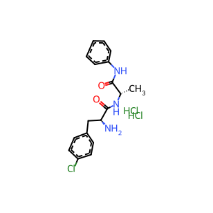 C[C@H](NC(=O)[C@@H](N)Cc1ccc(Cl)cc1)C(=O)Nc1ccccc1.Cl.Cl